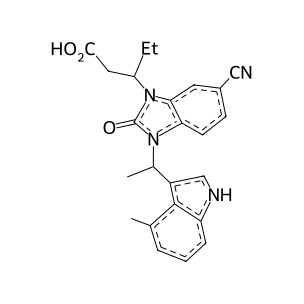 CCC(CC(=O)O)n1c(=O)n(C(C)c2c[nH]c3cccc(C)c23)c2ccc(C#N)cc21